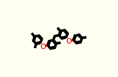 Cc1ccc(Oc2ccc(C)c(Cc3cc(Oc4ccc(C)cc4C)ccc3C)c2)cc1